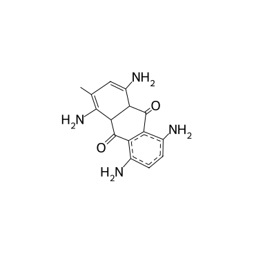 CC1=C(N)C2C(=O)c3c(N)ccc(N)c3C(=O)C2C(N)=C1